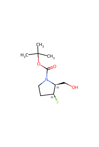 CC(C)(C)OC(=O)N1CC[C@H](F)[C@@H]1CO